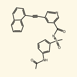 CC(=O)Nc1cccc(S(C)(=O)=NC(=O)c2cncc(C#Cc3cccc4ccccc34)c2)c1